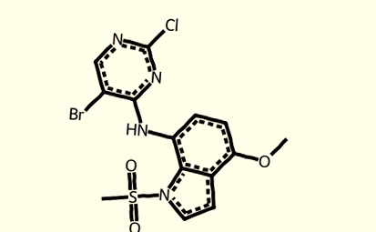 COc1ccc(Nc2nc(Cl)ncc2Br)c2c1ccn2S(C)(=O)=O